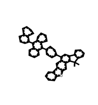 CC1(C)c2ccccc2-c2cc(-c3ccc(-c4c5ccccc5c(-c5cccc6ccccc56)c5ccccc45)cc3)c3cc4c(cc3c21)oc1ccccc14